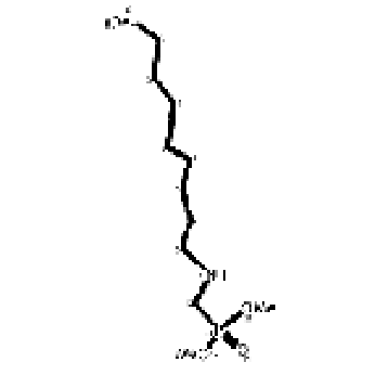 CCCCCCCCCCCCCCCCCCNCP(=O)(OC)OC